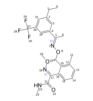 CCc1cc(/C(C)=N/OCc2c(C)cccc2/C(=N\OC)C(=O)NC)cc(C(F)(F)F)c1